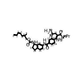 C=C/C=C\C=C(/C)COC(=O)NC1CCc2ccc(NC(=O)c3ccc4c(c3)N=C(N)CC(C(=O)N(CCC)CCC)=C4)cc21